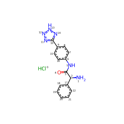 Cl.N[C@H](C(=O)Nc1ccc(-c2nn[nH]n2)cc1)c1ccccc1